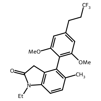 CCN1C(=O)Cc2c1ccc(C)c2-c1c(OC)cc(CCC(F)(F)F)cc1OC